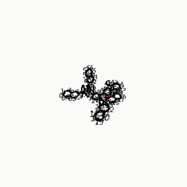 c1ccc2cc(-c3nc(-c4ccc(-n5c6cc7ccccc7cc6c6cc7ccccc7cc65)c(-c5ccc6c(c5)sc5ccccc56)c4)nc(-c4ccc5ccccc5c4)n3)ccc2c1